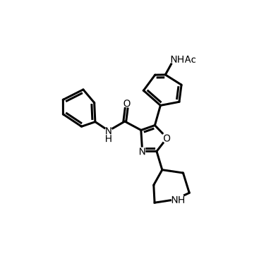 CC(=O)Nc1ccc(-c2oc(C3CCNCC3)nc2C(=O)Nc2ccccc2)cc1